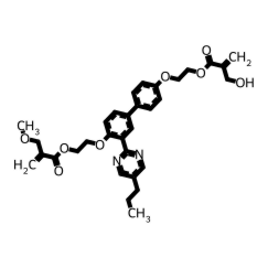 C=C(CO)C(=O)OCCOc1ccc(-c2ccc(OCCOC(=O)C(=C)COC)c(-c3ncc(CCC)cn3)c2)cc1